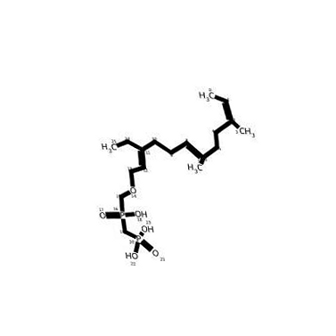 CC=C(C)CCC(C)=CCCC(=CCOCP(=O)(O)CP(=O)(O)O)CC